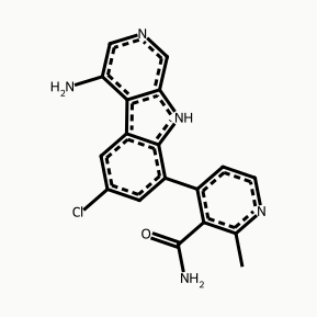 Cc1nccc(-c2cc(Cl)cc3c2[nH]c2cncc(N)c23)c1C(N)=O